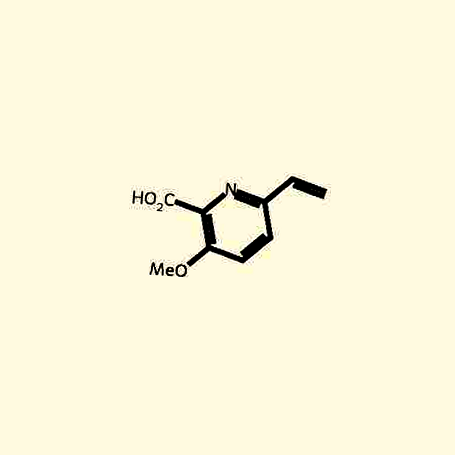 C=Cc1ccc(OC)c(C(=O)O)n1